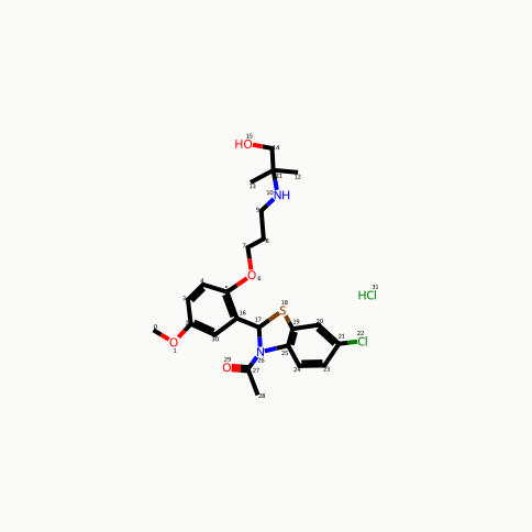 COc1ccc(OCCCNC(C)(C)CO)c(C2Sc3cc(Cl)ccc3N2C(C)=O)c1.Cl